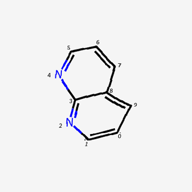 [c]1[c]nc2ncccc2c1